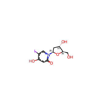 O=c1cc(O)c(I)cn1[C@H]1C[C@H](O)[C@@H](CO)O1